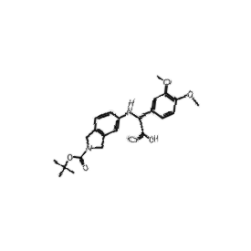 COc1ccc(C(Nc2ccc3c(c2)CN(C(=O)OC(C)(C)C)C3)C(=O)O)cc1OC